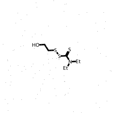 CCN(CC)C(=S)SSCCO